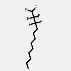 CCCCCCCCCC(F)(F)C(F)(F)C(F)F